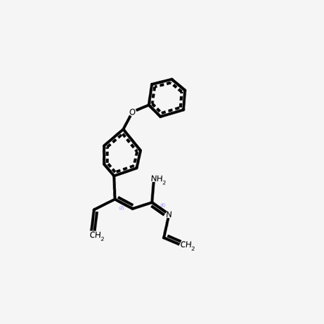 C=C/N=C(N)\C=C(\C=C)c1ccc(Oc2ccccc2)cc1